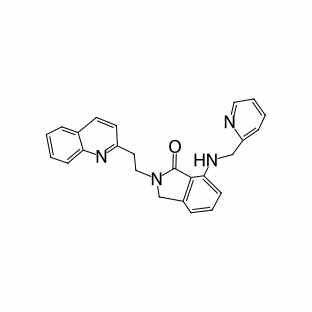 O=C1c2c(cccc2NCc2ccccn2)CN1CCc1ccc2ccccc2n1